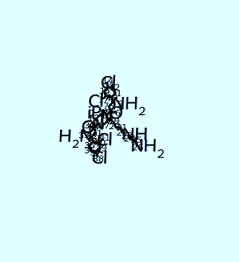 CC(C)C[C@@H]1CN(C(=O)C[C@@H](N)c2ccc(Cl)cc2Cl)[C@@H](CCCCNCCN)CN1C(=O)C[C@@H](N)c1ccc(Cl)cc1Cl